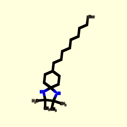 CCCCCCCCCCCCCCCCCCC1CCC2(CC1)NC(C)(C)C(C)(C)N2